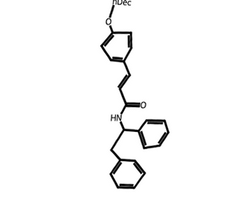 CCCCCCCCCCOc1ccc(C=CC(=O)NC(Cc2ccccc2)c2ccccc2)cc1